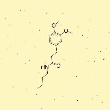 CCCCNC(=O)CCc1ccc(OC)c(OC)c1